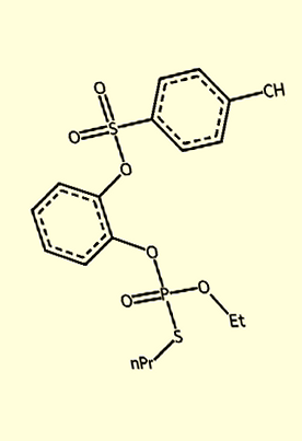 CCCSP(=O)(OCC)Oc1ccccc1OS(=O)(=O)c1ccc(C)cc1